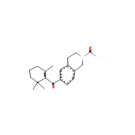 CC1=C(C(=O)c2ccc3c(c2)CCN(C(N)=O)C3)C(C)(C)CCC1